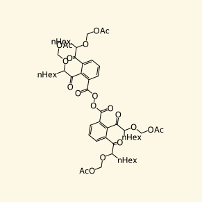 CCCCCCC(OCOC(C)=O)C(=O)c1cccc(C(=O)OOC(=O)c2cccc(C(=O)C(CCCCCC)OCOC(C)=O)c2C(=O)C(CCCCCC)OCOC(C)=O)c1C(=O)C(CCCCCC)OCOC(C)=O